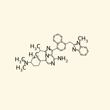 CC(C)c1nc(-c2ccc(Cc3nc4ccccc4n3C)c3ccccc23)c2c(N)ncc(C3=CCC(N(C)C)CC3)n12